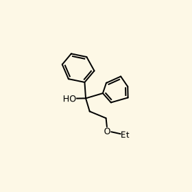 CCOCCC(O)(c1ccccc1)c1ccccc1